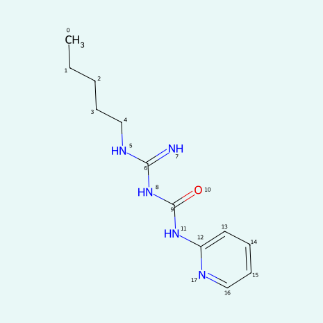 CCCCCNC(=N)NC(=O)Nc1ccccn1